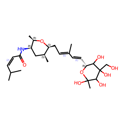 CC(/C=C/[C@H]1OC(C)(O)C(O)C(O)(CO)C1O)=C\C[C@@H]1O[C@H](C)[C@H](NC(=O)/C=C\C(C)C)C[C@@H]1C